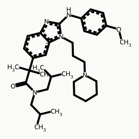 COc1ccc(Nc2nc3ccc(C(C)(C)C(=O)N(CC(C)C)CC(C)C)cc3n2CCCN2CCCCC2)cc1